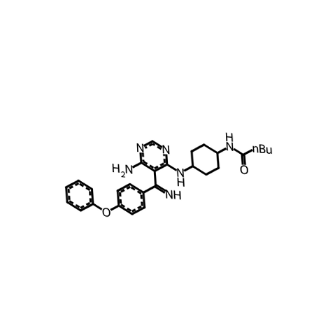 CCCCC(=O)NC1CCC(Nc2ncnc(N)c2C(=N)c2ccc(Oc3ccccc3)cc2)CC1